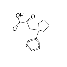 O=C(O)C(=O)CC1(c2ccccc2)CCCC1